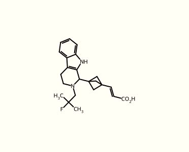 CC(C)(F)CN1CCc2c([nH]c3ccccc23)C1C12CC(/C=C/C(=O)O)(C1)C2